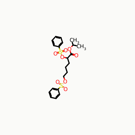 CC(C)OC(=O)C(CCCCOS(=O)(=O)c1ccccc1)OS(=O)(=O)c1ccccc1